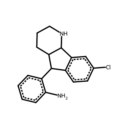 Nc1ccccc1C1c2ccc(Cl)cc2C2NCCCC21